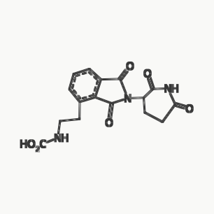 O=C(O)NCCc1cccc2c1C(=O)N(C1CCC(=O)NC1=O)C2=O